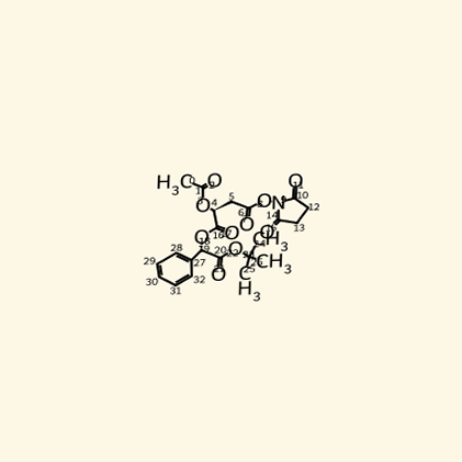 CC(=O)O[C@@H](CC(=O)ON1C(=O)CCC1=O)C(=O)O[C@H](C(=O)OC(C)(C)C)c1ccccc1